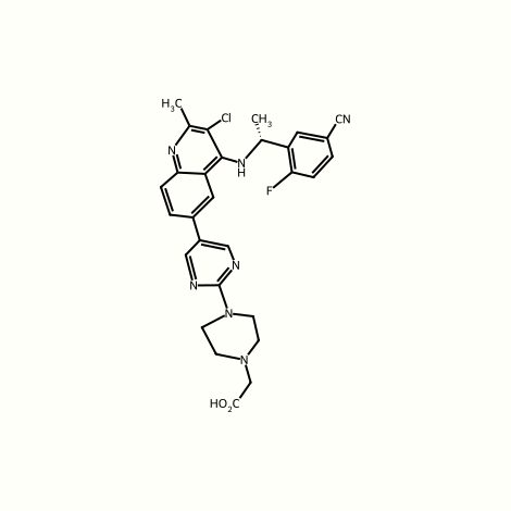 Cc1nc2ccc(-c3cnc(N4CCN(CC(=O)O)CC4)nc3)cc2c(N[C@H](C)c2cc(C#N)ccc2F)c1Cl